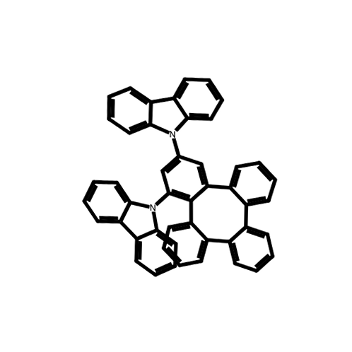 c1ccc2c(c1)-c1ccccc1-c1cc(-n3c4ccccc4c4ccccc43)cc(-n3c4ccccc4c4ccccc43)c1-c1ccccc1-2